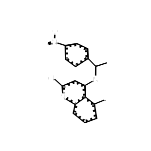 CC(Nc1cc(Cl)nc2cccc(F)c12)c1ccc([N+](=O)[O-])cc1